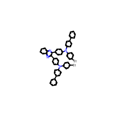 CCc1ccc(N(c2ccc(-c3ccccc3)cc2)c2ccc(-c3nc4ccccc4nc3-c3ccc(N(c4ccc(CC)cc4)c4ccc(-c5ccccc5)cc4)cc3)cc2)cc1